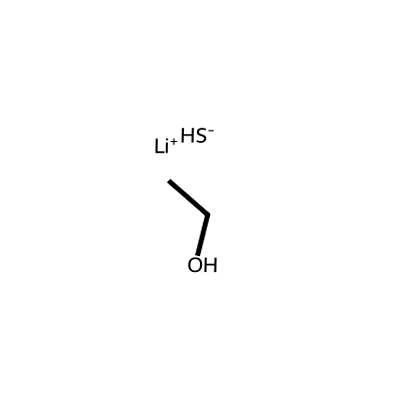 CCO.[Li+].[SH-]